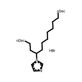 Br.CCCCCCCCCCCCCCCCCC(CCCCCCCCCCCC)n1ccnc1